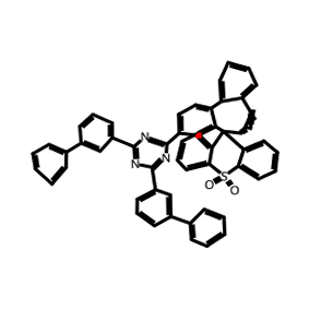 O=S1(=O)c2ccccc2C2(c3ccccc3-c3ccccc3-c3ccc(-c4nc(-c5cccc(-c6ccccc6)c5)nc(-c5cccc(-c6ccccc6)c5)n4)cc32)c2ccccc21